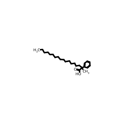 CCCCCCCCCCCCCCCCC(C)(C(=O)O)c1ccccc1